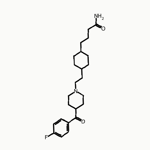 NC(=O)CCCC1CCC(CCN2CCC(C(=O)c3ccc(F)cc3)CC2)CC1